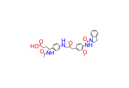 COc1cc(CC(=O)CNc2ccc(C(CCC(=O)O)NC(C)=O)cc2)ccc1NC(=O)N1CCc2ccccc21